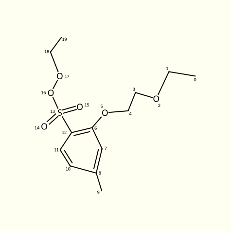 CCOCCOc1cc(C)ccc1S(=O)(=O)OOCC